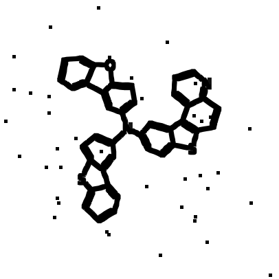 c1ccc2c(c1)oc1ccc(N(c3ccc4sc5ccccc5c4c3)c3ccc4sc5ccc6ncccc6c5c4c3)cc12